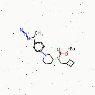 CC(N=[N+]=[N-])c1ccc(N2CCC[C@@H](N(CC3CCC3)C(=O)OC(C)(C)C)C2)cc1